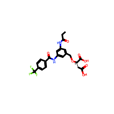 CCC(=O)Nc1cc(CO[C@@H](CC(=O)O)C(=O)O)cc(NC(=O)c2ccc(C(F)(F)F)cc2)c1